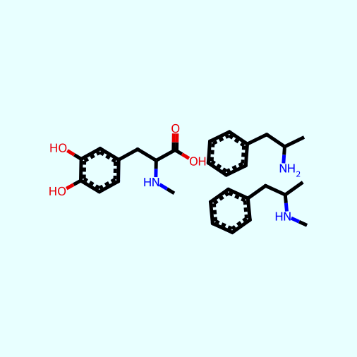 CC(N)Cc1ccccc1.CNC(C)Cc1ccccc1.CNC(Cc1ccc(O)c(O)c1)C(=O)O